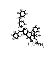 CN(C)CCC(O)(c1ccccc1)c1cc2nc(N3CCN(Cc4ccccc4)CC3)c(Cc3ccccc3)cc2cc1Br